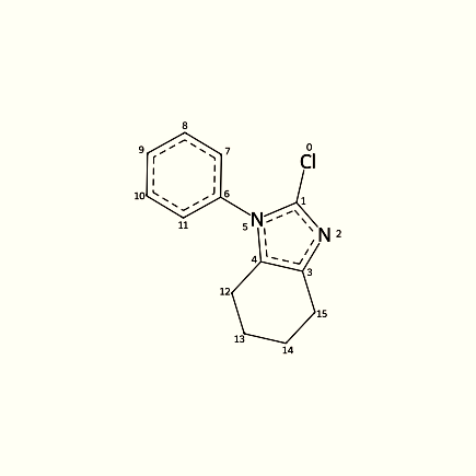 Clc1nc2c(n1-c1ccccc1)CCCC2